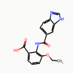 CCOc1cccc(C(=O)O)c1NC(=O)c1ccc2nc[nH]c2c1